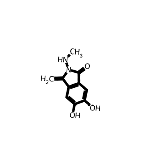 C=C1c2cc(O)c(O)cc2C(=O)N1NC